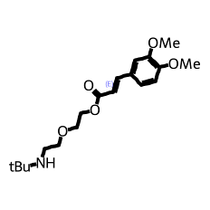 COc1ccc(/C=C/C(=O)OCCOCCNC(C)(C)C)cc1OC